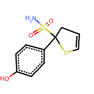 NS(=O)(=O)C1(c2ccc(O)cc2)CC=CS1